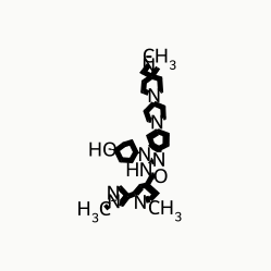 Cc1cc(C(=O)Nc2nc3ccc(N4CCC(N5CCC6(CC5)CN(C)C6)CC4)cc3n2[C@H]2CC[C@@H](O)CC2)cc(-c2cnn(C)c2)n1